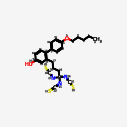 CCCCCOc1ccc(-c2ccc(O)cc2CCC[Si](N=C=S)(N=C=S)N=C=S)cc1